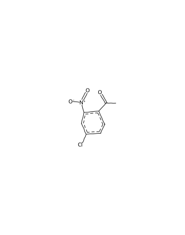 CC(=O)c1ccc(Cl)cc1[N+](=O)[O-]